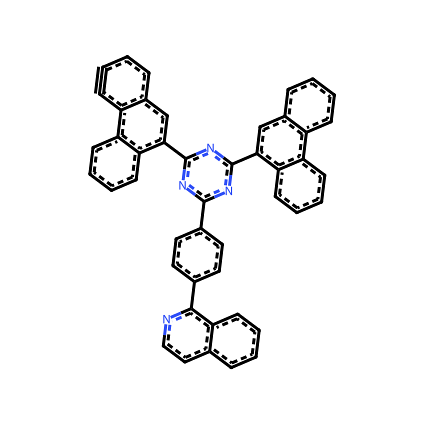 c1ccc2cc(-c3nc(-c4ccc(-c5nccc6ccccc56)cc4)nc(-c4cc5ccccc5c5ccccc45)n3)c3ccccc3c2c#1